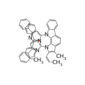 C/C=C\c1c(C)c2ccc3c4ccccc4n(-c4cc(-c5ccccc5)nc(-c5ccccc5)c4)c3c2n1-c1nc(-c2ccccc2)cc(C2C=CC=CC2C)n1